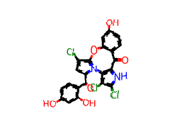 O=C1c2ccc(O)cc2Oc2c(Cl)cc(C(=O)c3ccc(O)cc3O)n2-c2c1[nH]c(Cl)c2Cl